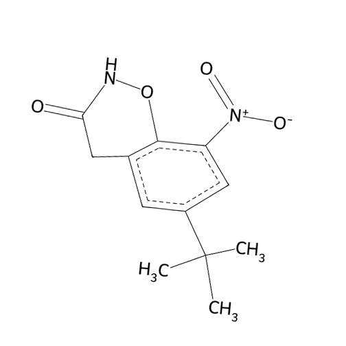 CC(C)(C)c1cc2c(c([N+](=O)[O-])c1)ONC(=O)C2